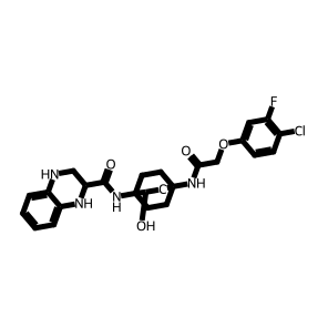 O=C(COc1ccc(Cl)c(F)c1)NC12CCC(NC(=O)C3CNc4ccccc4N3)(CC1)C(O)C2